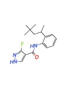 CC(CC(C)(C)C)c1ccccc1NC(=O)c1c[nH]nc1F